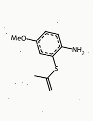 C=C(C)Sc1cc(OC)ccc1N